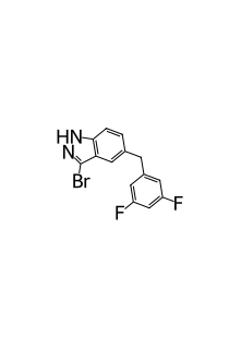 Fc1cc(F)cc(Cc2ccc3[nH]nc(Br)c3c2)c1